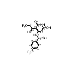 CC(C)(C)C(Nc1nc(O)[nH]c(=O)c1C(=N)CC(F)(F)F)c1ccc(C(F)(F)F)cc1